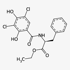 CCOC(=O)[C@H](Cc1ccccc1)NC(=O)c1cc(Cl)c(O)c(Cl)c1O